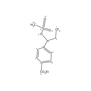 CCOC(=O)c1ccc(C(CC(F)(F)F)OS(C)(=O)=O)cc1